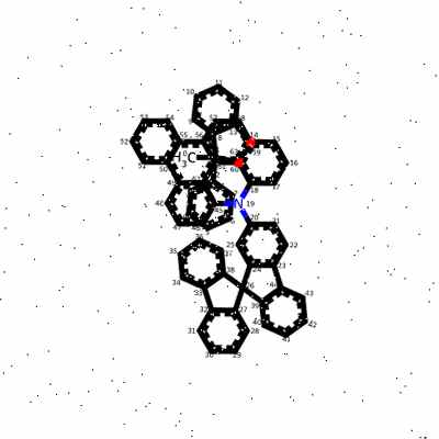 CC1(c2ccccc2)c2ccccc2-c2cccc(N(c3ccc4c(c3)C3(c5ccccc5-c5ccccc53)c3ccccc3-4)c3cccc4c5ccccc5c5ccccc5c34)c21